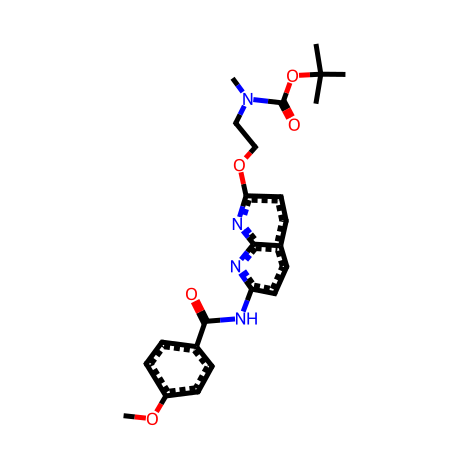 COc1ccc(C(=O)Nc2ccc3ccc(OCCN(C)C(=O)OC(C)(C)C)nc3n2)cc1